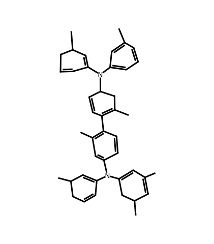 CC1=CC(C)CC(N(C2=CC(C)CC=C2)c2ccc(C3=C(C)CC(N(C4=CC(C)CC=C4)c4cccc(C)c4)C=C3)c(C)c2)=C1